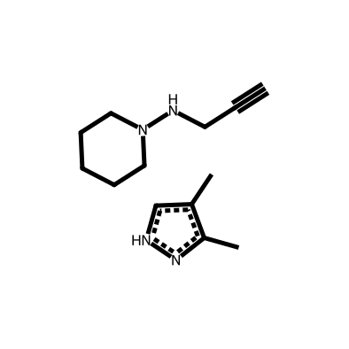 C#CCNN1CCCCC1.Cc1c[nH]nc1C